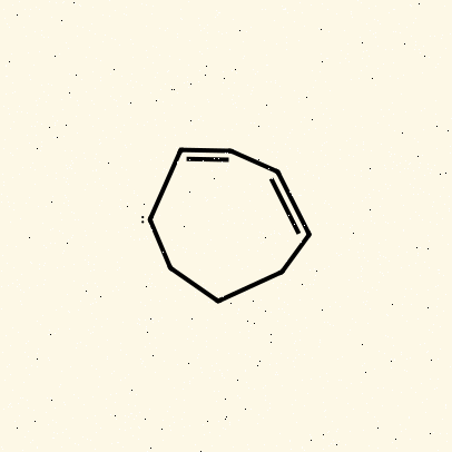 [C]1/C=C\C=C/CCC1